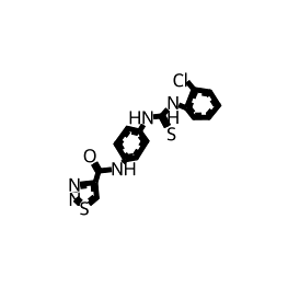 O=C(Nc1ccc(NC(=S)Nc2ccccc2Cl)cc1)c1csnn1